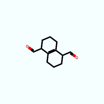 O=[C]C1CCCC2=C1CCCC2[C]=O